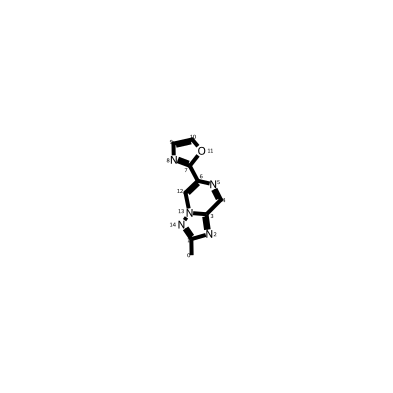 Cc1nc2cnc(-c3ncco3)cn2n1